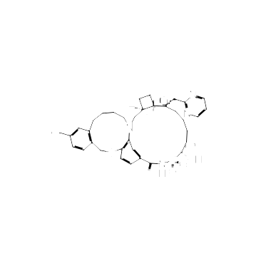 C[C@@H]1[C@@H](C)CCC[C@](O)(Cc2ncccn2)[C@@H]2CC[C@H]2CN2CCCCc3cc(Cl)ccc3COc3ccc(cc32)C(=O)NS1(=O)=O